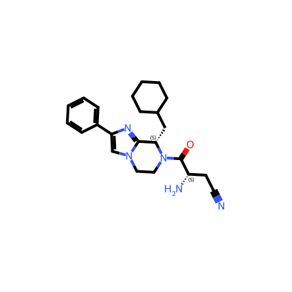 N#CC[C@H](N)C(=O)N1CCn2cc(-c3ccccc3)nc2[C@@H]1CC1CCCCC1